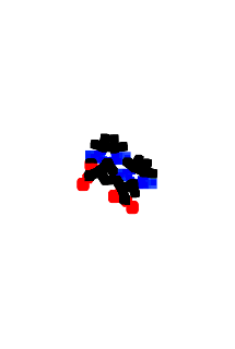 CC1(C)NC(C)(C2(CCC3(C4(C)NC(C)(C)C(C)(C)N4)OC3=O)OC2=O)NC1(C)C